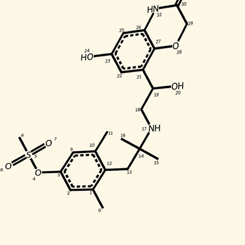 Cc1cc(OS(C)(=O)=O)cc(C)c1CC(C)(C)NCC(O)c1cc(O)cc2c1OCC(=O)N2